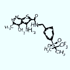 Cc1nnc2sc(C(=O)NCc3ccc(S(=O)(=O)C(C)(C)C(F)(F)F)cc3)c(N)c2c1C